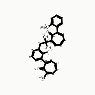 COc1ccccc1-c1ccccc(C(C)(C)Cc2cccc(-c3ccccc(C(C)(C)C)c3=O)c2Cl)c1=O